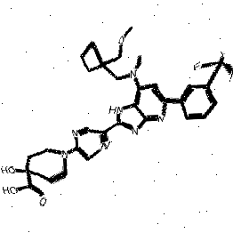 COCC1(CN(C)c2cc(-c3cccc(C(F)(F)F)c3)nc3nc(-c4cnc(N5CCC(O)(C(=O)O)CC5)cn4)[nH]c23)CCC1